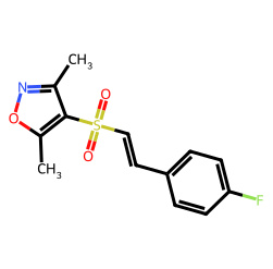 Cc1noc(C)c1S(=O)(=O)C=Cc1ccc(F)cc1